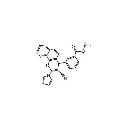 COC(=O)c1cccc(C2C(C#N)=C(n3cccc3)Oc3c2ccc2cccnc32)c1